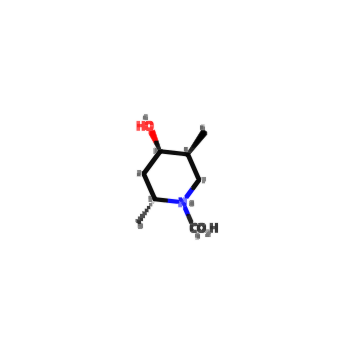 C[C@@H]1C[C@@H](O)[C@@H](C)CN1C(=O)O